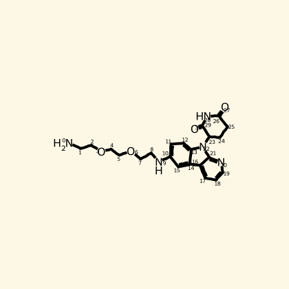 NCCOCCOCCNc1ccc2c(c1)c1cccnc1n2C1CCC(=O)NC1=O